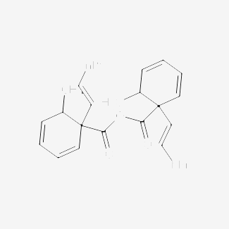 CCCC=CC1(C(=O)OC(=O)C2(C=CCCC)C=CC=CC2C)C=CC=CC1C